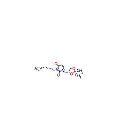 C#CCCCCn1c(=O)ccn(CC2COC(C)(C)O2)c1=O